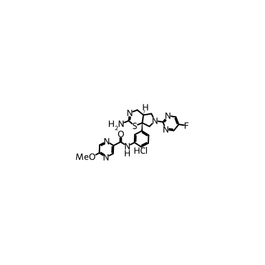 COc1cnc(C(=O)Nc2cccc([C@]34CN(c5ncc(F)cn5)C[C@@H]3CN=C(N)S4)c2)cn1.Cl